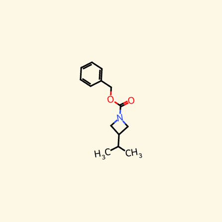 CC(C)C1CN(C(=O)OCc2ccccc2)C1